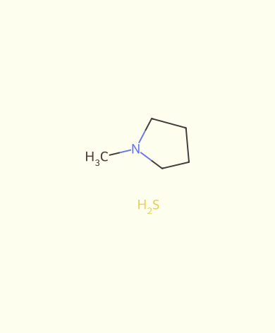 CN1CCCC1.S